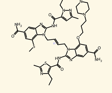 CCc1nc(C)sc1C(=O)Nc1nc2cc(C(N)=O)cc(OCCCN3CCN(C)CC3)c2n1C/C=C/Cn1c(NC(=O)c2cc(C)nn2CC)nc2cc(C(N)=O)cc(SC)c21